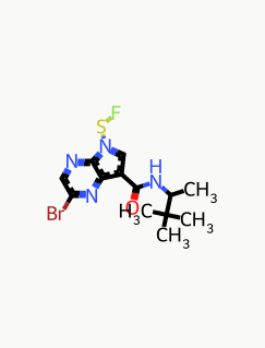 CC(NC(=O)c1cn(SF)c2ncc(Br)nc12)C(C)(C)C